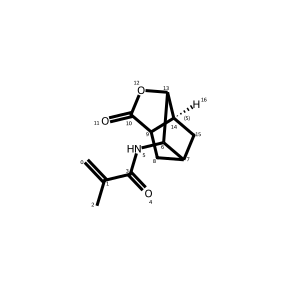 C=C(C)C(=O)NC1C2CC3C(=O)OC1[C@H]3C2